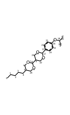 CCCCCC1COC(C2COC(c3ccc(OC(F)F)cc3)OC2)OC1